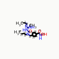 C/C=C\N=C(/NC)NC(=O)N(CCCC)Cc1ccc(C(=O)NO)cc1